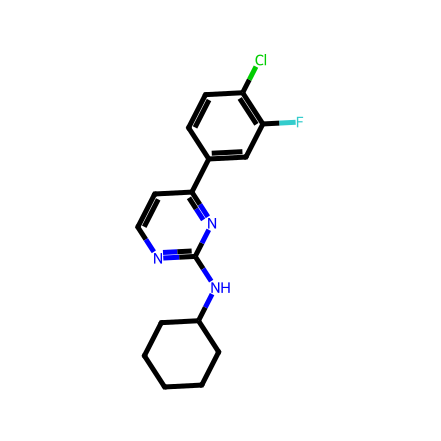 Fc1cc(-c2ccnc(NC3CCCCC3)n2)ccc1Cl